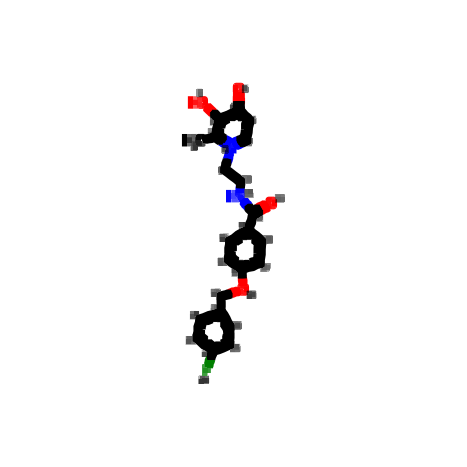 Cc1c(O)c(=O)ccn1CCNC(=O)c1ccc(OCc2ccc(F)cc2)cc1